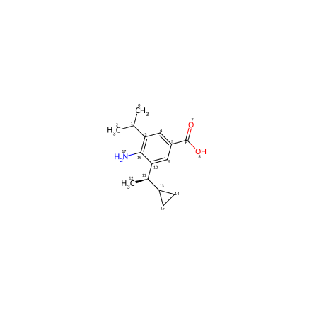 CC(C)c1cc(C(=O)O)cc([C@H](C)C2CC2)c1N